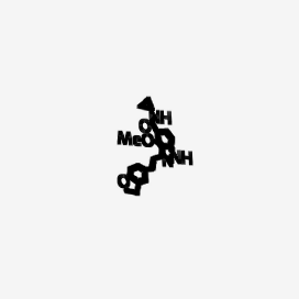 COc1c(C(=O)NC2CC2)ccc2[nH]nc(C=Cc3ccc4c(c3)CCO4)c12